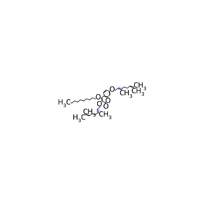 CCCCCCCCCCOc1c(OC/C=C(\C)CCC=C(C)C)c(=O)oc2cc(OC/C=C(\C)CCC=C(C)C)ccc12